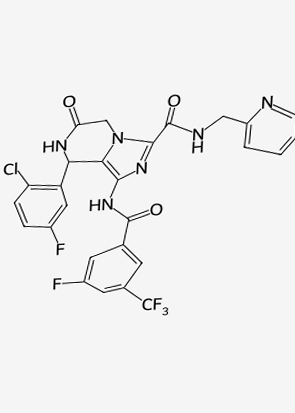 O=C1Cn2c(C(=O)NCc3ccccn3)nc(NC(=O)c3cc(F)cc(C(F)(F)F)c3)c2C(c2cc(F)ccc2Cl)N1